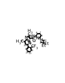 CCC1(CC)CN(c2cccc(NC(=O)c3c(C)nc4c(C)cc(-c5ccccc5C(F)(F)F)nn34)n2)C1